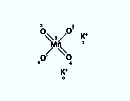 [K+].[K+].[O]=[Mn](=[O])([O-])[O-]